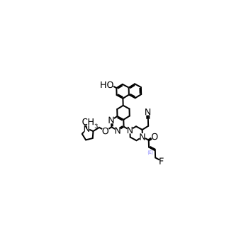 CN1CCCC1COc1nc2c(c(N3CCN(C(=O)/C=C/CF)C(CC#N)C3)n1)CCC(c1cc(O)cc3ccccc13)C2